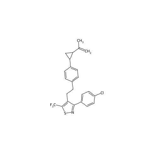 C=C(C)C1CC1c1ccc(CCc2c(-c3ccc(Cl)cc3)nsc2C(F)(F)F)cc1